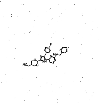 OCC1COC(c2nc(-c3ccc(F)cc3)c(-c3ccnc(NCc4ccccn4)n3)[nH]2)OC1